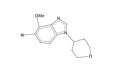 COc1c(Br)ccc2c1ncn2C1CCOCC1